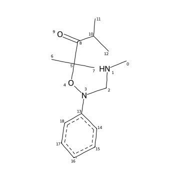 CNCN(OC(C)(C)C(=O)C(C)C)c1cc[c]cc1